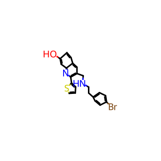 Oc1ccc2cc(CNCCc3ccc(Br)cc3)c(-c3cccs3)nc2c1